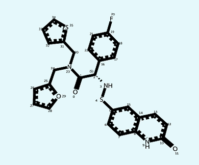 O=C([C@@H](NSc1ccc2[nH]c(=O)ccc2c1)c1ccc(F)cc1)N(Cc1ccco1)Cc1cccs1